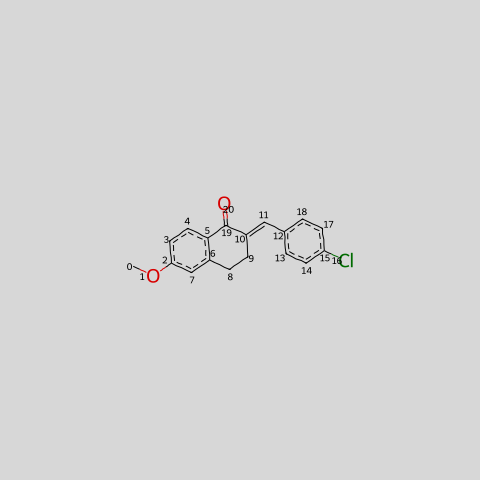 COc1ccc2c(c1)CCC(=Cc1ccc(Cl)cc1)C2=O